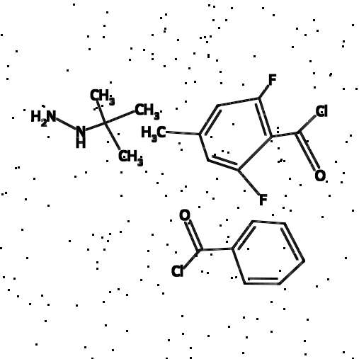 CC(C)(C)NN.Cc1cc(F)c(C(=O)Cl)c(F)c1.O=C(Cl)c1ccccc1